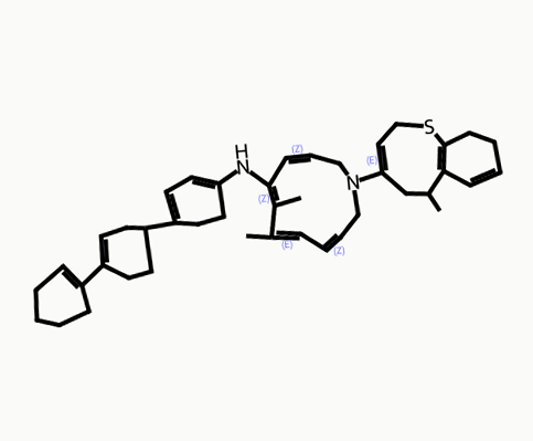 CC1=C(NC2=CC=C(C3CC=C(C4=CCCCC4)CC3)CC2)\C=C/CN(/C2=C/CSC3=C(C=CCC3)C(C)C2)C/C=C\C=C\1C